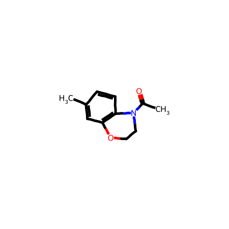 CC(=O)N1CCOc2cc(C)ccc21